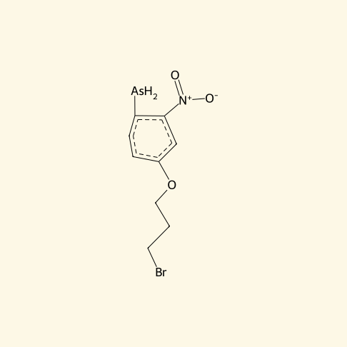 O=[N+]([O-])c1cc(OCCCBr)ccc1[AsH2]